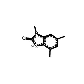 Cc1cc(C)c2[nH]c(=O)n(C)c2c1